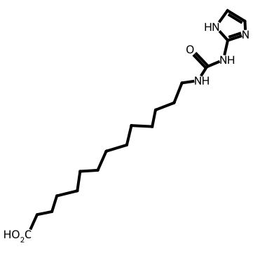 O=C(O)CCCCCCCCCCCCCNC(=O)Nc1ncc[nH]1